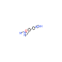 CC(C)CC(Cc1cccc(-c2ccc(N3CCNCC3)cc2)c1)C(=O)NCC#N